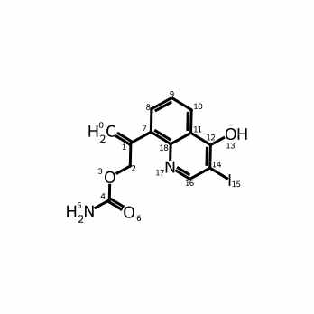 C=C(COC(N)=O)c1cccc2c(O)c(I)cnc12